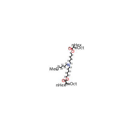 CCCCCCCCC(CCCCCC)C(=O)OCCCCCCN(CCCCCCOC(=O)C(CCCCCC)CCCCCCCC)CCCCCOC